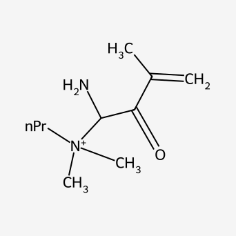 C=C(C)C(=O)C(N)[N+](C)(C)CCC